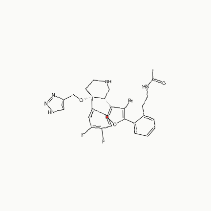 CC(=O)NCCc1ccccc1-c1onc([C@H]2CNCC[C@]2(OCc2c[nH]nn2)c2ccc(F)c(F)c2)c1Br